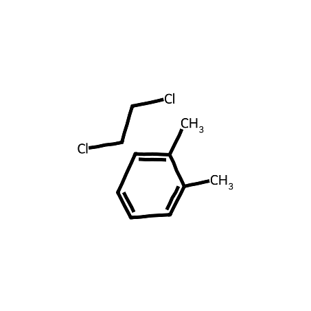 Cc1ccccc1C.ClCCCl